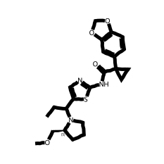 CCC(c1cnc(NC(=O)C2(c3ccc4c(c3)OCO4)CC2)s1)N1CCC[C@H]1COC